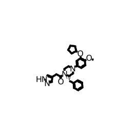 COc1ccc(N2CCN(C(=O)Cc3cn[nH]c3)[C@@H](Cc3ccccc3)C2)cc1OC1CCCC1